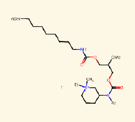 CCCCCCCCCCCCCCCCCCNC(=O)OCC(COC(=O)N(C(C)=O)C1CCC[N+](C)(CC)C1)OC.[I-]